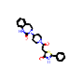 O=C1NC(c2ccccc2)SC1CC(=O)N1CCC(N2CCc3ccccc3NC2=O)CC1